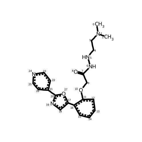 CN(C)CCNNC(=O)COc1ccccc1-c1cnc(-c2ccncc2)o1